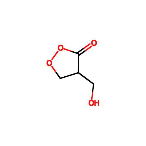 O=C1OOCC1CO